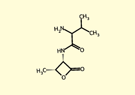 CC(C)C(N)C(=O)N[C@@H]1C(=O)O[C@@H]1C